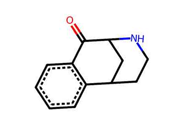 O=C1c2ccccc2C2CCNC1C2